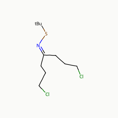 CC(C)(C)SN=C(CCCCl)CCCCl